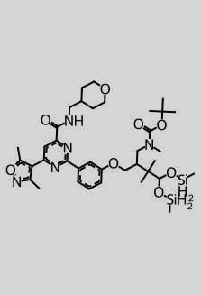 C[SiH2]OC(O[SiH2]C)C(C)(C)C(COc1cccc(-c2nc(C(=O)NCC3CCOCC3)cc(-c3c(C)noc3C)n2)c1)CN(C)C(=O)OC(C)(C)C